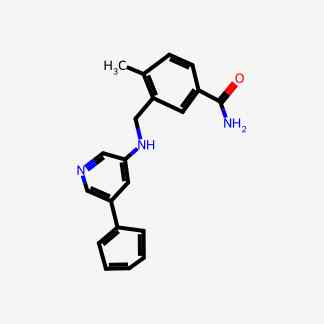 Cc1ccc(C(N)=O)cc1CNc1cncc(-c2ccccc2)c1